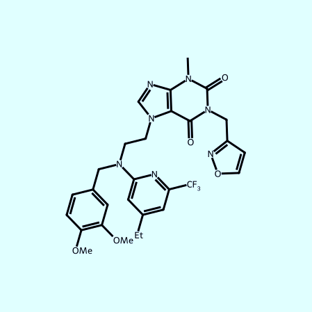 CCc1cc(N(CCn2cnc3c2c(=O)n(Cc2ccon2)c(=O)n3C)Cc2ccc(OC)c(OC)c2)nc(C(F)(F)F)c1